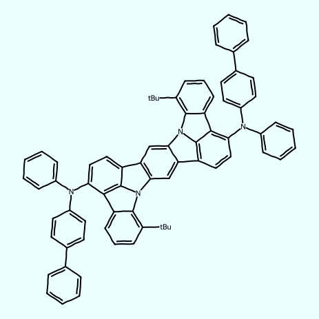 CC(C)(C)c1cccc2c3c(N(c4ccccc4)c4ccc(-c5ccccc5)cc4)ccc4c5cc6c(cc5n(c12)c43)c1ccc(N(c2ccccc2)c2ccc(-c3ccccc3)cc2)c2c3cccc(C(C)(C)C)c3n6c12